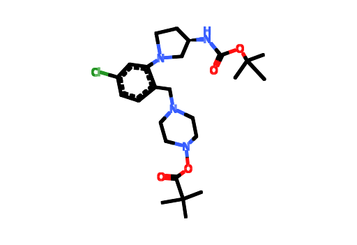 CC(C)(C)OC(=O)N[C@@H]1CCN(c2cc(Cl)ccc2CN2CCN(OC(=O)C(C)(C)C)CC2)C1